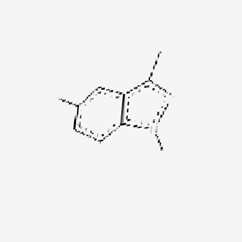 CC(C)n1nc(C(F)(F)F)c2cc(C#N)ccc21